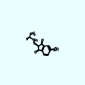 NC(=S)NN=c1c(=O)c2ccc(O)cc2c1=O